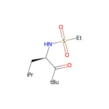 CCS(=O)(=O)N[C@H](CC(C)C)C(=O)C(C)(C)C